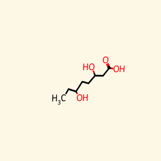 CCC(O)CCC(O)CC(=O)O